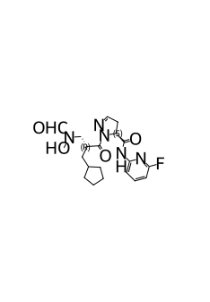 O=CN(O)C[C@@H](CC1CCCC1)C(=O)N1N=CC[C@H]1C(=O)Nc1cccc(F)n1